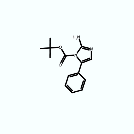 CC(C)(C)OC(=O)n1c(-c2ccccc2)cnc1N